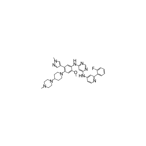 COc1cc(N2CCC(N3CCN(C)CC3)CC2)c(-c2cnn(C)c2)cc1Nc1cc(Nc2ccnc(-c3ccccc3F)c2)ncn1